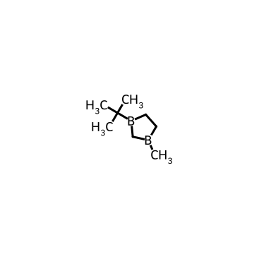 CB1CCB(C(C)(C)C)C1